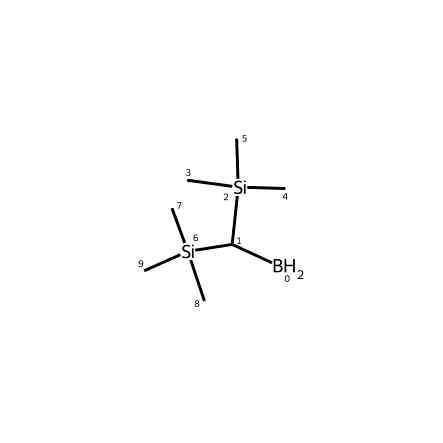 BC([Si](C)(C)C)[Si](C)(C)C